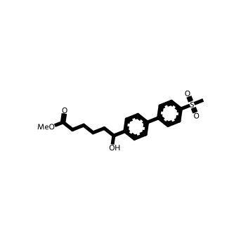 COC(=O)CCCCC(O)c1ccc(-c2ccc(S(C)(=O)=O)cc2)cc1